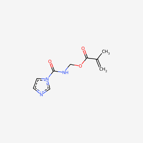 C=C(C)C(=O)OCNC(=O)n1ccnc1